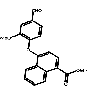 COC(=O)c1ccc(Oc2ccc(C=O)cc2OC)c2ccccc12